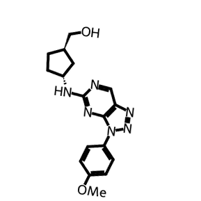 COc1ccc(-n2nnc3cnc(N[C@@H]4CC[C@@H](CO)C4)nc32)cc1